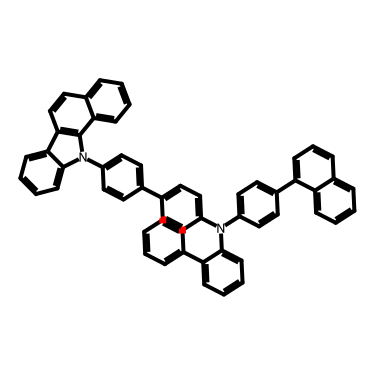 c1ccc(-c2ccccc2N(c2ccc(-c3ccc(-n4c5ccccc5c5ccc6ccccc6c54)cc3)cc2)c2ccc(-c3cccc4ccccc34)cc2)cc1